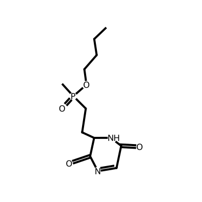 CCCCOP(C)(=O)CCC1NC(=O)C=NC1=O